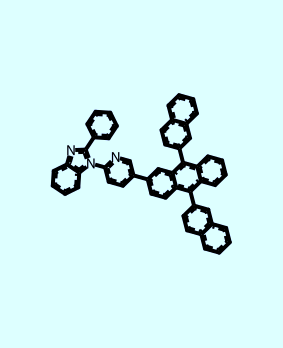 c1ccc(-c2nc3ccccc3n2-c2ccc(-c3ccc4c(-c5ccc6ccccc6c5)c5ccccc5c(-c5ccc6ccccc6c5)c4c3)cn2)cc1